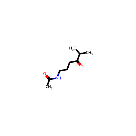 CC(=O)NCCCC(=O)C(C)C